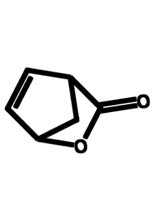 O=C1OC2C=CC1C2